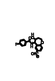 O=C(NC1c2cc([N+](=O)[O-])ccc2OCCC1O)c1ccc(F)cc1